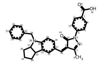 CC1=NN(c2ccc(C(=O)O)cc2)C(=O)/C1=C\c1ccc2c(c1)C1CCCC1N2Cc1ccccc1